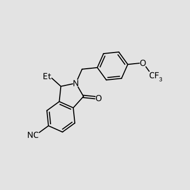 CCC1c2cc(C#N)ccc2C(=O)N1Cc1ccc(OC(F)(F)F)cc1